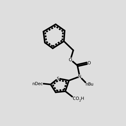 CCCCCCCCCCc1cc(C(=O)O)c(N(CCCC)C(=O)OCc2ccccc2)s1